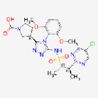 COc1cccc(OC)c1-n1c(NS(=O)(=O)[C@@H](C)[C@H](C)c2ncc(Cl)cn2)nnc1[C@@H]1CCN(C(=O)O)C1